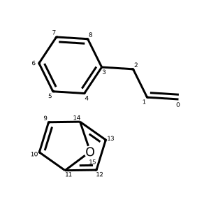 C=CCc1ccccc1.c1cc2ccc1o2